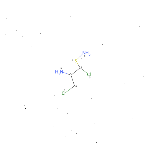 NSC(Cl)C(N)CCl